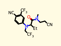 CCC(C(=O)N(C)CCC#N)N(CC(F)(F)F)c1ccc(C#N)c(C(F)(F)F)c1